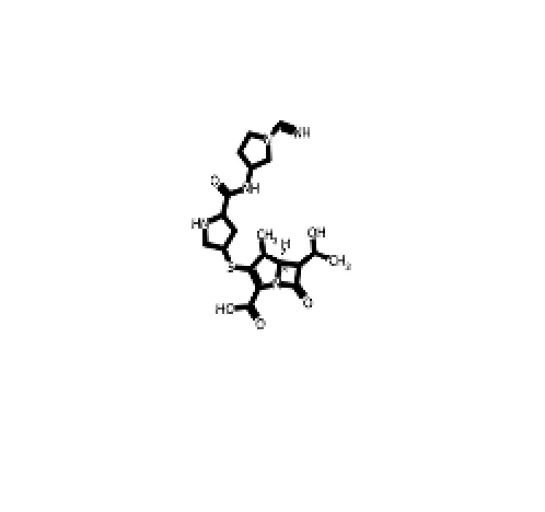 CC(O)C1C(=O)N2C(C(=O)O)=C(SC3CNC(C(=O)NC4CCN(C=N)C4)C3)C(C)[C@@H]12